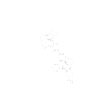 N#Cc1ccc2c3ccccc3n(-c3ccccc3-c3cccc(-c4ccc(-n5c6ccccc6c6ccccc65)c(C#N)c4)c3)c2c1